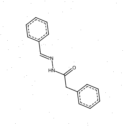 O=C(Cc1ccccc1)NN=Cc1ccccc1